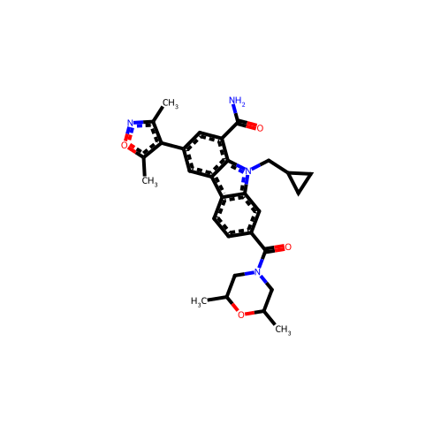 Cc1noc(C)c1-c1cc(C(N)=O)c2c(c1)c1ccc(C(=O)N3CC(C)OC(C)C3)cc1n2CC1CC1